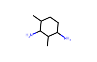 CC1CCC(N)C(C)C1N